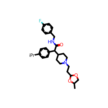 CC1COC(CCN2CCC(C(C(=O)NCc3ccc(F)cc3)c3ccc(C(C)C)cc3)CC2)O1